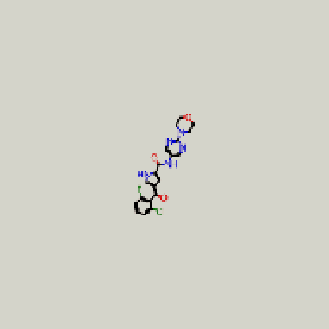 O=C(Nc1cnc(N2CCOCC2)nc1)c1cc(C(=O)c2c(F)cccc2Cl)c[nH]1